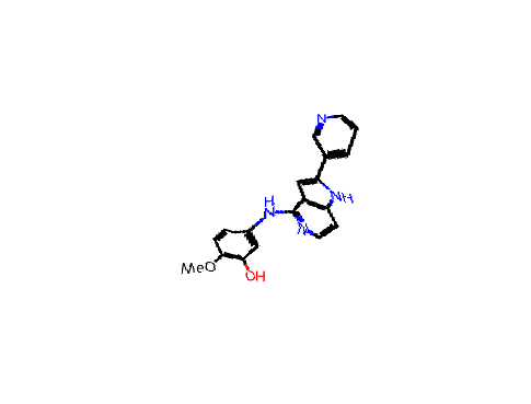 COc1ccc(Nc2nccc3[nH]c(-c4cccnc4)cc23)cc1O